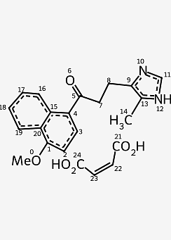 COc1ccc(C(=O)CCc2nc[nH]c2C)c2ccccc12.O=C(O)/C=C\C(=O)O